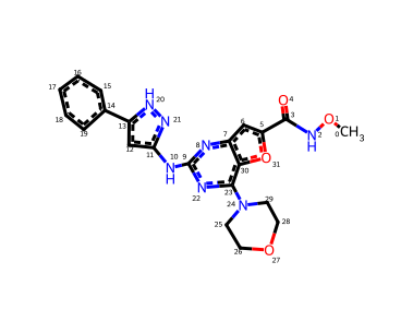 CONC(=O)c1cc2nc(Nc3cc(-c4ccccc4)[nH]n3)nc(N3CCOCC3)c2o1